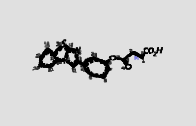 O=C(O)/C=C/C(=O)Oc1cccc(-c2cn3c(n2)sc2ccccc23)c1